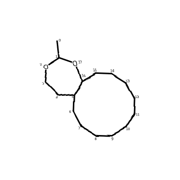 CC1OCCC2CCCCCCCCCCC2O1